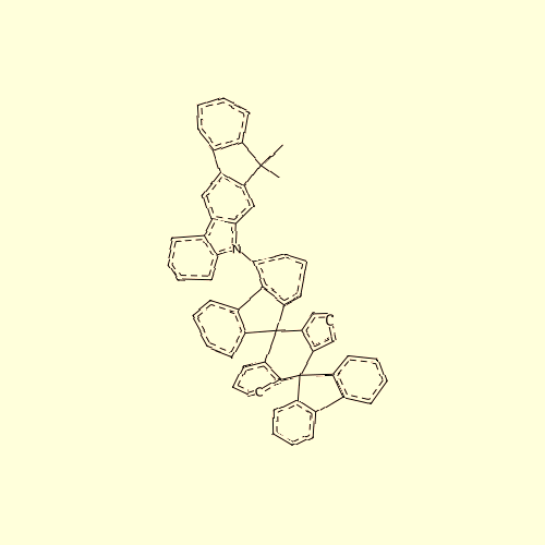 CC1(C)c2ccccc2-c2cc3c4ccccc4n(-c4cccc5c4-c4ccccc4C54c5ccccc5C5(c6ccccc6-c6ccccc65)c5ccccc54)c3cc21